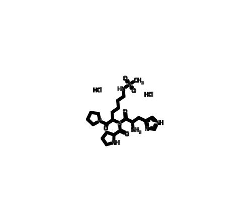 CS(=O)(=O)NCCCCC(C(=O)N1CCCC1)N(C(=O)C(N)Cc1c[nH]cn1)C(=O)C1CCCN1.Cl.Cl